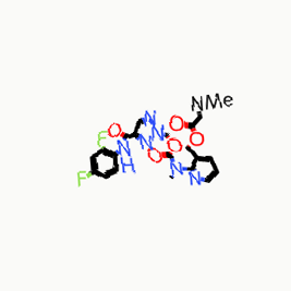 CNCC(=O)OCc1cccnc1N(C)C(=O)OCn1ncc(C(=O)Nc2ccc(F)cc2F)n1